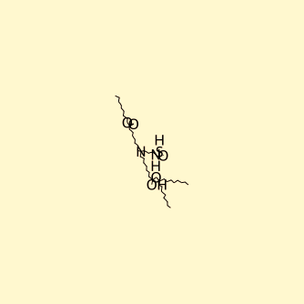 CCCCCCCCOC(=O)CCCCCCCN(CCCCCCCC(O)OC(CCCCCCCC)CCCCCCCC)CCCN[SH]=O